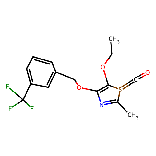 CCOC1=C(OCc2cccc(C(F)(F)F)c2)N=C(C)S1=C=O